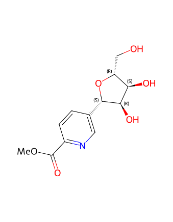 COC(=O)c1ccc([C@@H]2O[C@H](CO)[C@@H](O)[C@H]2O)cn1